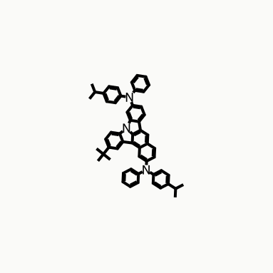 CC(C)c1ccc(N(c2ccccc2)c2ccc3cc4c5ccc(N(c6ccccc6)c6ccc(C(C)C)cc6)cc5n5c6ccc(C(C)(C)C)cc6c(c3c2)c45)cc1